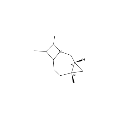 CC1C(C)N2C[C@@H]3C[C@]3(C)CCC12